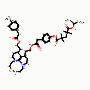 CCCCCCCCC(CCCCCCCC)OC(=O)C(C)(C)CC(C)(C)C(=O)Oc1ccc(CC(=O)OCCC2CCN3CCSSCCN4CCC(CCOC(=O)Cc5ccc(OC(C)=O)cc5)C2=C43)cc1